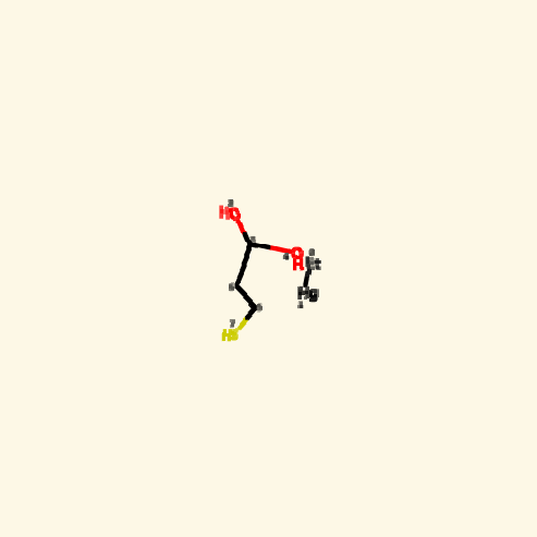 C[CH2][Hg].OC(O)CCS